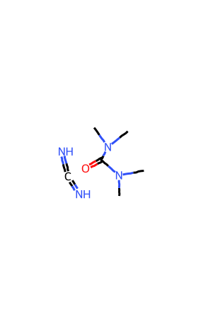 CN(C)C(=O)N(C)C.N=C=N